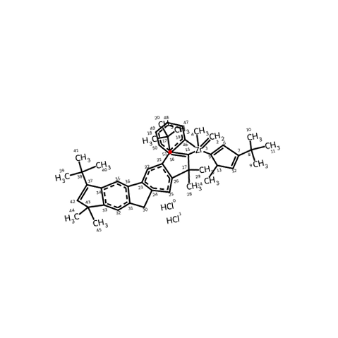 Cl.Cl.[CH2]=[Zr]([CH3])([C]1=CC(C(C)(C)C)=CC1C)([C]1=C(C(C)(C)C)c2cc3c(cc2C1(C)C)Cc1cc2c(cc1-3)C(C(C)(C)C)=CC2(C)C)[c]1ccccc1